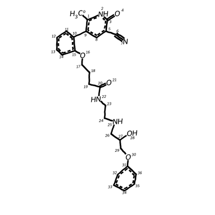 Cc1[nH]c(=O)c(C#N)cc1-c1ccccc1OCCCC(=O)NCCNCC(O)COc1ccccc1